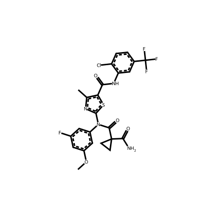 COc1cc(F)cc(N(C(=O)C2(C(N)=O)CC2)c2nc(C)c(C(=O)Nc3cc(C(F)(F)F)ccc3Cl)s2)c1